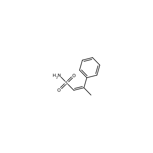 C/C(=C/S(N)(=O)=O)c1ccccc1